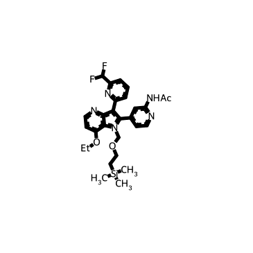 CCOc1ccnc2c(-c3cccc(C(F)F)n3)c(-c3ccnc(NC(C)=O)c3)n(COCC[Si](C)(C)C)c12